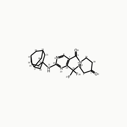 O=C1CCN(C(=O)c2cnc(NC34CCC5CC(CC(C5)C3)C4)nc2C(F)(F)F)CC1